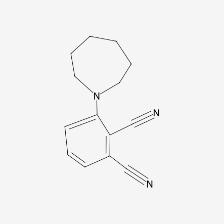 N#Cc1cccc(N2CCCCCC2)c1C#N